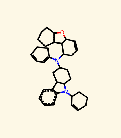 C1=CCCC(N(C2CCC3C(C2)c2ccccc2N3C2C=CCCC2)C2CC=CC3OC4CCCCC4C32)=C1